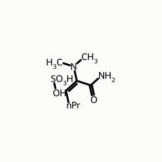 CCC/C=C(\C(N)=O)N(C)C.O=S(=O)(O)O